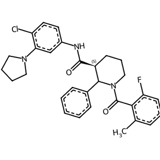 Cc1cccc(F)c1C(=O)N1CCC[C@H](C(=O)Nc2ccc(Cl)c(N3CCCC3)c2)C1c1ccccc1